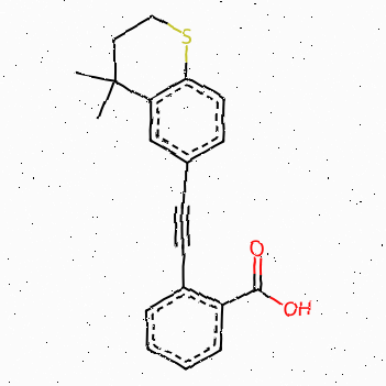 CC1(C)CCSc2ccc(C#Cc3ccccc3C(=O)O)cc21